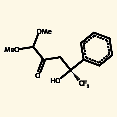 COC(OC)C(=O)C[C@](O)(c1ccccc1)C(F)(F)F